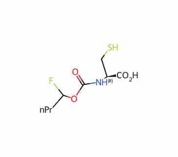 CCCC(F)OC(=O)N[C@@H](CS)C(=O)O